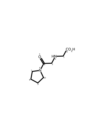 O=C(O)CNCC(=O)N1CCCC1